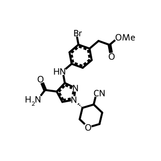 COC(=O)Cc1ccc(Nc2nn([C@H]3COCCC3C#N)cc2C(N)=O)cc1Br